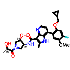 COc1cc(-c2ccnc3c(C(=O)N[C@@H]4CN(C(=O)[C@H](C)O)C[C@H]4O)c(C)[nH]c23)c(OCC2CC2)cc1F